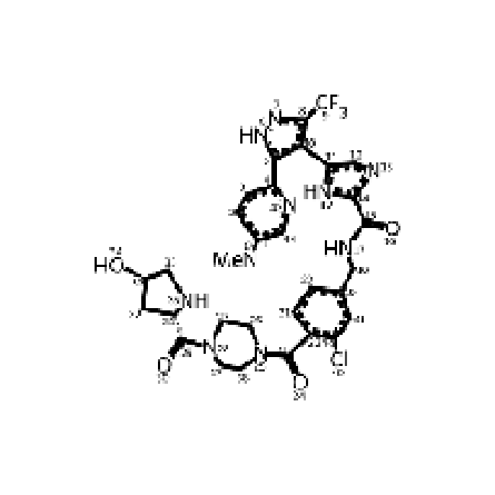 CNc1ccc(-c2[nH]nc(C(F)(F)F)c2-c2cnc(C(=O)NCc3ccc(C(=O)N4CCN(C(=O)[C@@H]5C[C@@H](O)CN5)CC4)c(Cl)c3)[nH]2)nc1